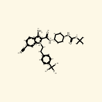 CC(C)(C)OC(=O)N[C@H]1CC[C@H](NC(=O)c2c(N)c3ccc(C#N)cc3n2CCc2ccc(C(F)(F)F)cc2)CC1